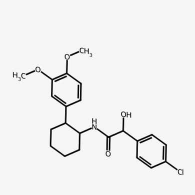 COc1ccc(C2CCCCC2NC(=O)C(O)c2ccc(Cl)cc2)cc1OC